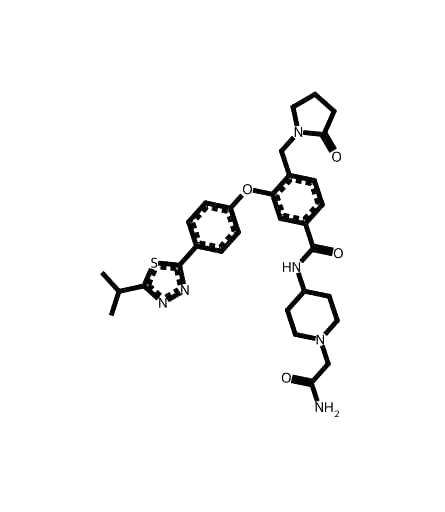 CC(C)c1nnc(-c2ccc(Oc3cc(C(=O)NC4CCN(CC(N)=O)CC4)ccc3CN3CCCC3=O)cc2)s1